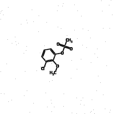 COc1c(Cl)cccc1OS(C)(=O)=O